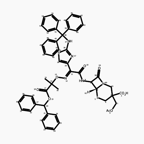 CC(=O)OCC1(C(=O)O)CS[C@@H]2C(NC(=O)C(=NOC(C)(C)C(=O)OC(c3ccccc3)c3ccccc3)c3csc(NC(c4ccccc4)(c4ccccc4)c4ccccc4)n3)C(=O)N2C1